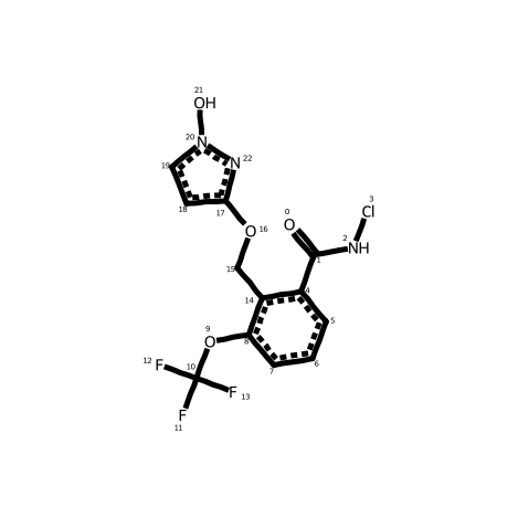 O=C(NCl)c1cccc(OC(F)(F)F)c1COc1ccn(O)n1